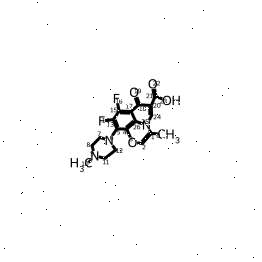 CC1=COc2c(N3CCN(C)CC3)c(F)c(F)c3c(=O)c(C(=O)O)cn1c23